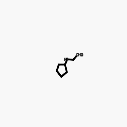 O=CCBC1CCCC1